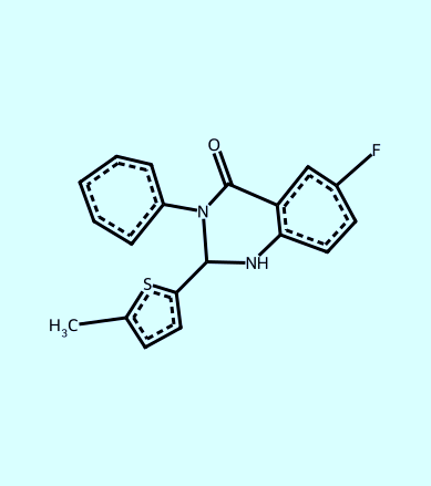 Cc1ccc(C2Nc3ccc(F)cc3C(=O)N2c2ccccc2)s1